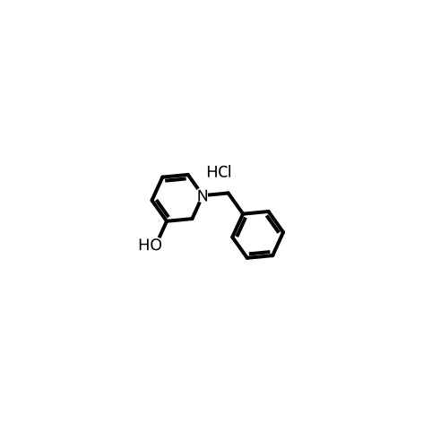 Cl.OC1=CC=CN(Cc2ccccc2)C1